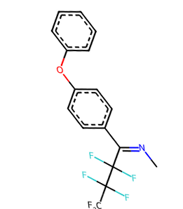 CN=C(c1ccc(Oc2ccccc2)cc1)C(F)(F)C(F)(F)C(F)(F)F